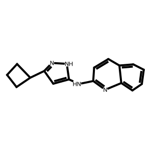 c1ccc2nc(Nc3cc(C4CCC4)n[nH]3)ccc2c1